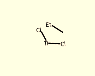 CCC.[Cl][Ti][Cl]